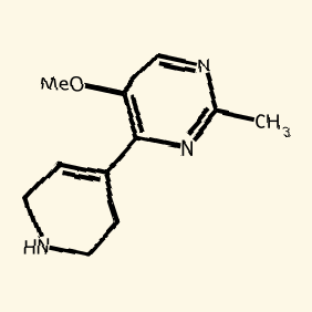 COc1cnc(C)nc1C1=CCNCC1